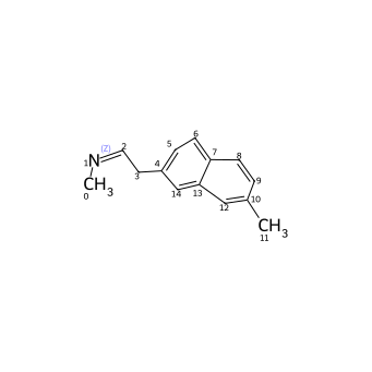 C/N=C\Cc1ccc2ccc(C)cc2c1